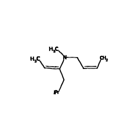 C/C=C\CN(C)/C(=C\C)CC(C)C